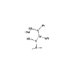 CCCCNN(C(C)C)[N+](CCC)N(N(C)C)C(C)(C)C